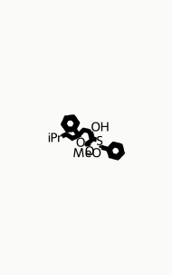 COC(SC1=C(O)CC(CCC(C)C)(c2ccccc2)OC1=O)c1ccccc1